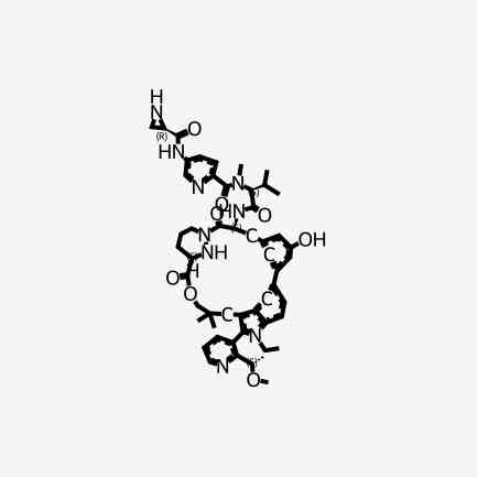 CCn1c(-c2cccnc2[C@H](C)OC)c2c3cc(ccc31)-c1cc(O)cc(c1)C[C@H](NC(=O)[C@H](C(C)C)N(C)C(=O)c1ccc(NC(=O)[C@H]3CN3)cn1)C(=O)N1CCC[C@H](N1)C(=O)OCC(C)(C)C2